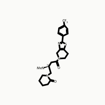 CN[C@@H](CC(=O)N1CCc2sc(-c3ccc(C(F)(F)F)cc3)nc2C1)CN1CCCCC1=O